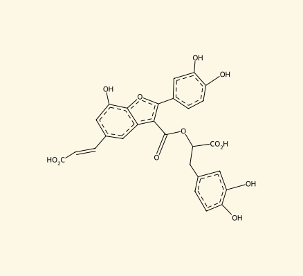 O=C(O)/C=C/c1cc(O)c2oc(-c3ccc(O)c(O)c3)c(C(=O)OC(Cc3ccc(O)c(O)c3)C(=O)O)c2c1